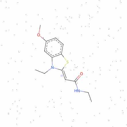 CCNC(=O)/C=C1\Sc2ccc(OC)cc2N1CC